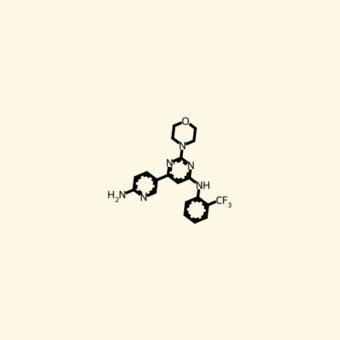 Nc1ccc(-c2cc(Nc3ccccc3C(F)(F)F)nc(N3CCOCC3)n2)cn1